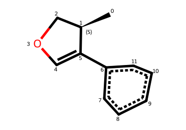 C[C@@H]1COC=C1c1ccccc1